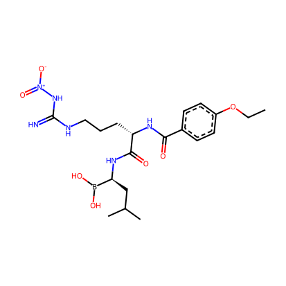 CCOc1ccc(C(=O)N[C@@H](CCCNC(=N)N[N+](=O)[O-])C(=O)N[C@@H](CC(C)C)B(O)O)cc1